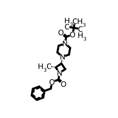 C[C@@H]1[C@H](N2CCN(C(=O)OC(C)(C)C)CC2)CN1C(=O)OCc1ccccc1